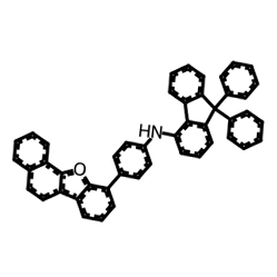 c1ccc(C2(c3ccccc3)c3ccccc3-c3c(Nc4ccc(-c5cccc6c5oc5c7ccccc7ccc65)cc4)cccc32)cc1